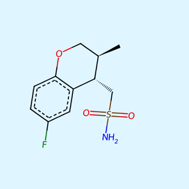 C[C@@H]1COc2ccc(F)cc2[C@H]1CS(N)(=O)=O